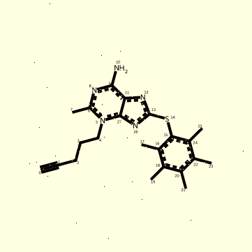 C#CCCCn1c(C)nc(N)c2nc(Sc3c(C)c(C)c(C)c(C)c3C)nc1-2